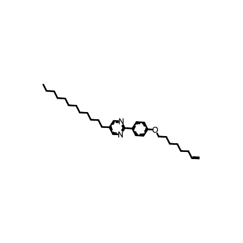 C=CCCCCCCOc1ccc(-c2ncc(CCCCCCCCCCCC)cn2)cc1